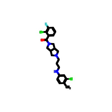 Cc1ccc(NCCCN2CC3CN(C(=O)c4cccc(F)c4Cl)CC3C2)cc1Cl